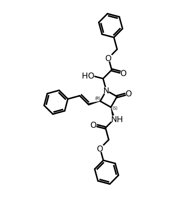 O=C(COc1ccccc1)N[C@@H]1C(=O)N(C(O)C(=O)OCc2ccccc2)[C@@H]1C=Cc1ccccc1